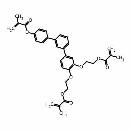 C=C(C)C(=O)OCCOc1ccc(-c2cccc(-c3ccc(OC(=O)C(=C)C)cc3)c2)cc1OCCOC(=O)C(=C)C